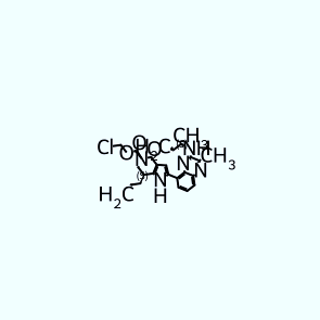 C=CC[C@H]1CN(C(=O)OCCl)C(=O)c2cc(-c3cccc4nc(C)c(N[C@@H](C)C=C)nc34)[nH]c21